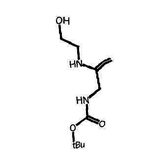 C=C(CNC(=O)OC(C)(C)C)NCCO